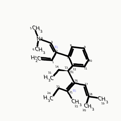 C=C/C(=C\N(C)C)c1ccccc1[C@H](CC)/C(C=C(C)C)=C(/C)CC